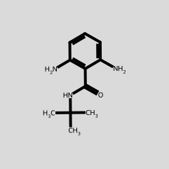 CC(C)(C)NC(=O)c1c(N)cccc1N